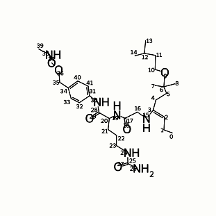 CC/C=C(/CCC(C)(C)OCCC(C)C)NCC(=O)NC(CCCNC(N)=O)C(=O)Nc1ccc(COONC)cc1